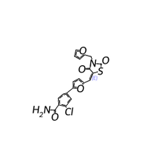 NC(=O)c1ccc(-c2ccc(/C=C3/SC(=O)N(Cc4ccco4)C3=O)o2)cc1Cl